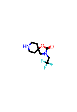 O=C1OC2(CCNCC2)CN1CC(F)(F)F